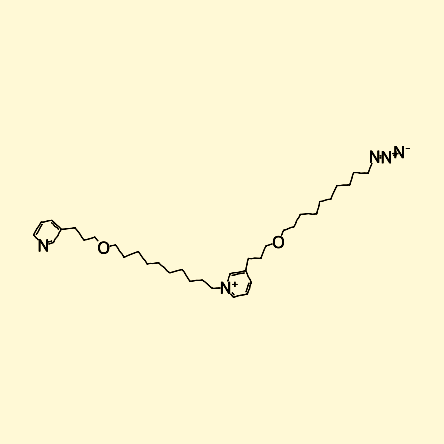 [N-]=[N+]=NCCCCCCCCCCOCCCc1ccc[n+](CCCCCCCCCCOCCCc2cccnc2)c1